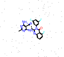 Cc1nc(N)c(C#N)c(N[C@@H](C)c2nc3cccc(F)c3c(=O)n2-c2cc(F)cc(F)c2)n1